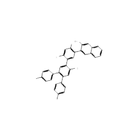 Cc1ccc(-c2cc(Br)c(-c3cc(-c4cc5ccccc5cc4Br)c(Br)cc3Br)cc2-c2ccc(C)cc2)cc1